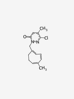 CC1=C/CC/C(Cn2nc(Cl)c(C)cc2=O)=C/C=C\1